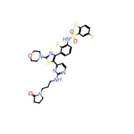 O=C1CCCN1CCCNc1nccc(-c2sc(N3CCOCC3)nc2-c2cccc(NS(=O)(=O)c3cc(F)ccc3F)c2F)n1